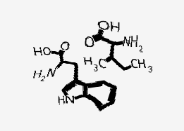 CCC(C)C(N)C(=O)O.NC(Cc1c[nH]c2ccccc12)C(=O)O